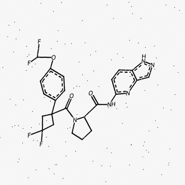 O=C(Nc1ccc2[nH]ncc2n1)C1CCCN1C(=O)C1(c2ccc(OC(F)F)cc2)CC(F)(F)C1